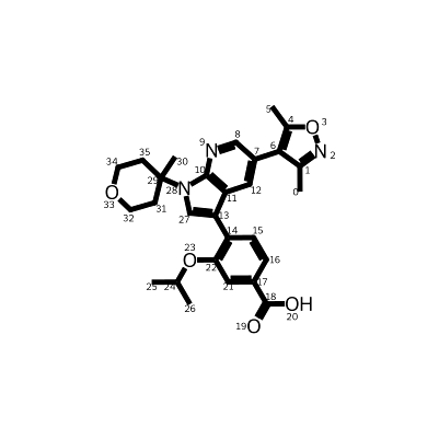 Cc1noc(C)c1-c1cnc2c(c1)c(-c1ccc(C(=O)O)cc1OC(C)C)cn2C1(C)CCOCC1